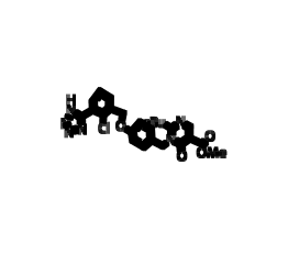 CCCCc1ncc(C(=O)OC)c(=O)n1Cc1ccc(OCc2cccc(-c3nnn[nH]3)c2Cl)cc1